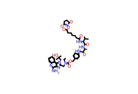 CCN(Cc1nc2c(N)nc3ccccc3c2n1CC(C)(C)O)C(=O)OCc1ccc(NC(=O)[C@H](C)NC(=O)[C@@H](NC(=O)CCCCCC(=O)ON2C(=O)CCC2=O)C(C)C)cc1